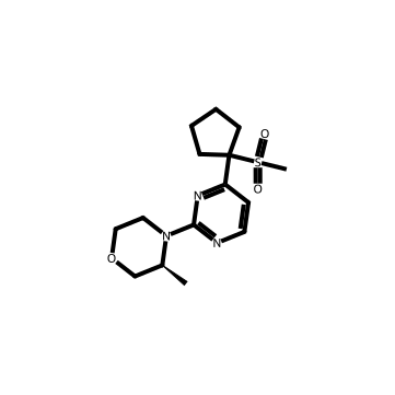 C[C@H]1COCCN1c1nccc(C2(S(C)(=O)=O)CCCC2)n1